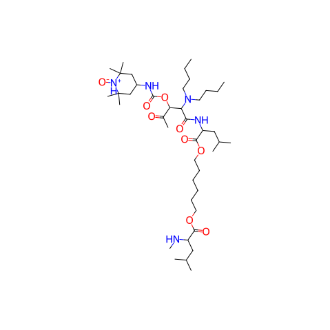 CCCCN(CCCC)C(C(=O)NC(CC(C)C)C(=O)OCCCCCCOC(=O)C(CC(C)C)NC)C(OC(=O)NC1CC(C)(C)[NH+]([O-])C(C)(C)C1)C(C)=O